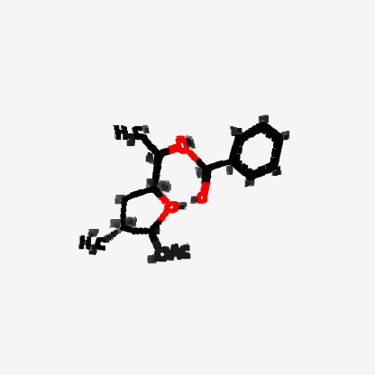 CC(=O)OC1O[C@H](C(C)OC(=O)c2ccccc2)C[C@H]1C